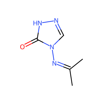 CC(C)=Nn1cn[nH]c1=O